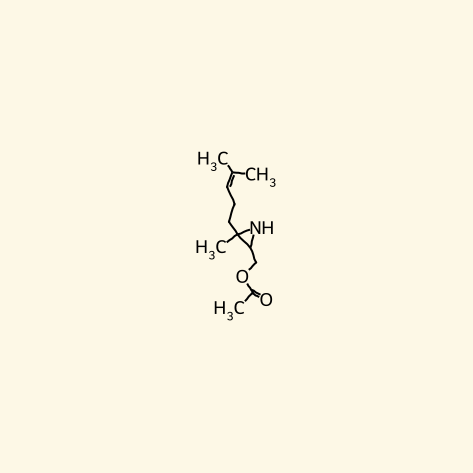 CC(=O)OCC1NC1(C)CCC=C(C)C